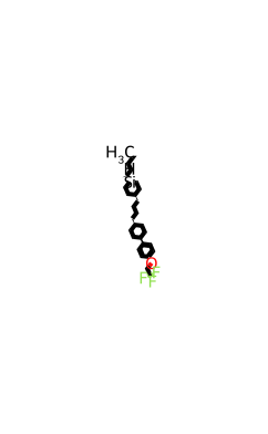 CCCCC[Si@H]1CC[C@H](CCCC[C@H]2CC[C@H](c3ccc(OCC(F)(F)F)cc3)CC2)CC1